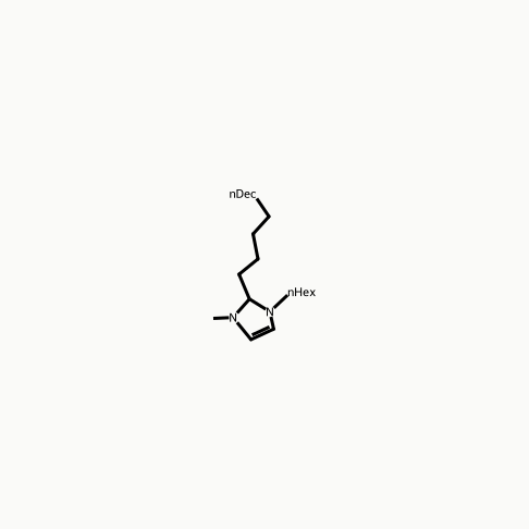 CCCCCCCCCCCCCCC1N(C)C=CN1CCCCCC